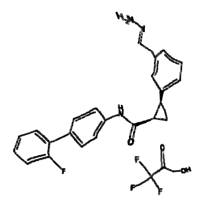 NN=Cc1cccc([C@H]2C[C@H]2C(=O)Nc2ccc(-c3ccccc3F)cc2)c1.O=C(O)C(F)(F)F